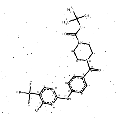 CC(C)(C)OC(=O)N1CCN(C(=O)c2ccc(Nc3ncc(C(F)(F)F)c(Cl)n3)cc2)CC1